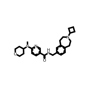 CN(c1ccc(C(=O)NCc2ccc3c(c2)CCN(C2CCC2)CC3)cn1)C1CCOCC1